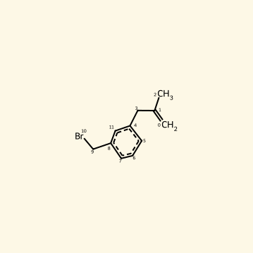 C=C(C)Cc1cccc(CBr)c1